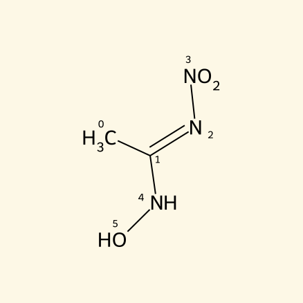 C/C(=N\[N+](=O)[O-])NO